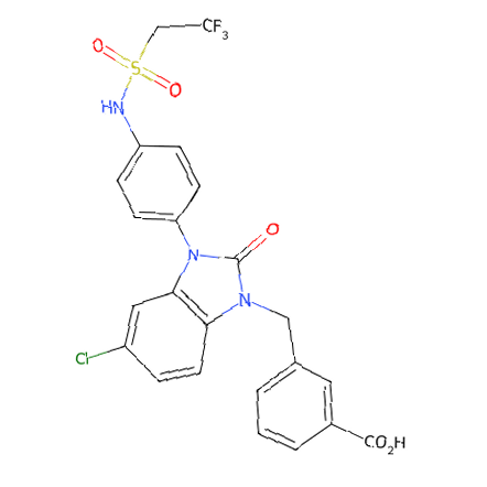 O=C(O)c1cccc(Cn2c(=O)n(-c3ccc(NS(=O)(=O)CC(F)(F)F)cc3)c3cc(Cl)ccc32)c1